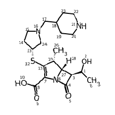 CC(O)[C@H]1C(=O)N2C(C(=O)O)=C(S[C@@H]3CCN(CC4CCNCC4)C3)[C@H](C)[C@H]12